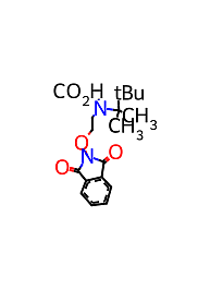 CC(C)(C)C(C)(C)N(CCON1C(=O)c2ccccc2C1=O)C(=O)O